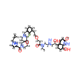 CCN(CCNC[C@H](O)c1ccc(O)c2[nH]c(=O)ccc12)C(=O)CCOCCc1cccc(CN2CCC3(CC2)CN(C(=O)c2ccn(CC4CC4)n2)CCO3)c1F